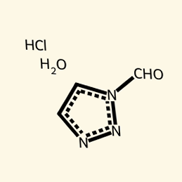 Cl.O.O=Cn1ccnn1